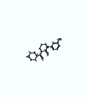 CC(C)c1cccc(N2CCCC(C(=O)N3CCOCC3)C2=O)c1